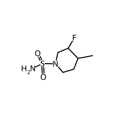 CC1CCN(S(N)(=O)=O)CC1F